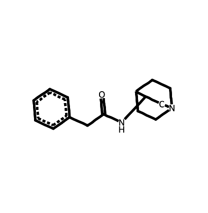 O=C(Cc1ccccc1)NC1CN2CCC1CC2